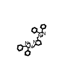 C1=NC(c2ccccc2)C(c2ccccc2)N1Cc1cccc(CN2C=NC(c3ccccc3)C2c2ccccc2)n1